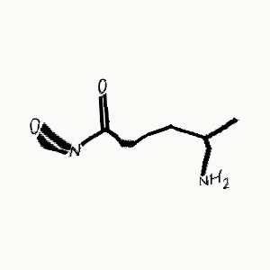 CC(N)CCC(=O)N=O